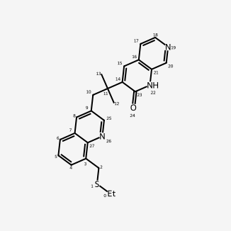 CCSCc1cccc2cc(CC(C)(C)c3cc4ccncc4[nH]c3=O)cnc12